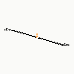 CCCCCCCCCCCCCCCCCCCCCCCCCC=CPC=CCCCCCCCCCCCCCCCCCCCCCCCCC